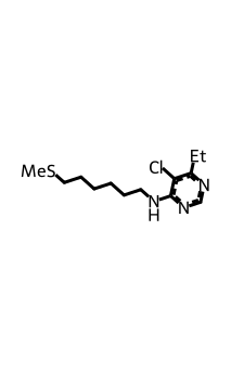 CCc1ncnc(NCCCCCCSC)c1Cl